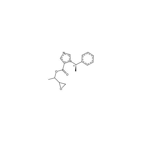 CC(OC(=O)c1cncn1[C@H](C)c1ccccc1)C1CO1